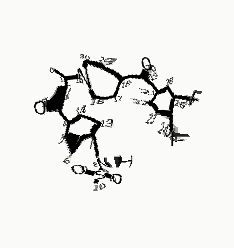 CC(C(=O)c1ccc(NS(C)(=O)=O)cc1)N1CCC(C(=O)c2ccc(F)c(F)c2)CC1